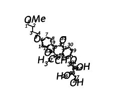 COCCCCOc1ccc2c3c(oc2c1)C(C)(C)c1cc(OC[C@@H](O)[C@H](O)CO)ccc1C3=O